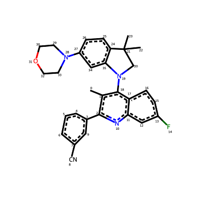 Cc1c(-c2cccc(C#N)c2)nc2cc(F)ccc2c1N1CC(C)(C)c2ccc(N3CCOCC3)cc21